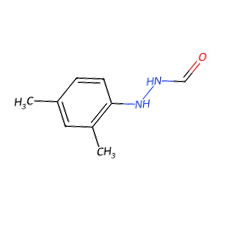 Cc1ccc(NNC=O)c(C)c1